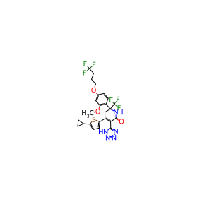 COc1cc(OCCCC(F)(F)F)ccc1C1(C(F)(F)F)CC(c2ccc(C3CC3)s2)=C(c2nnn[nH]2)C(=O)N1